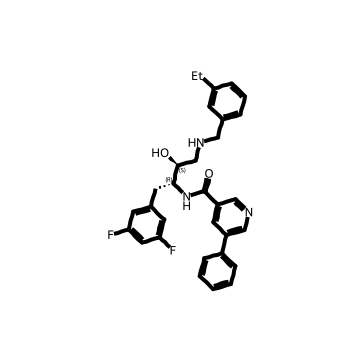 CCc1cccc(CNC[C@H](O)[C@@H](Cc2cc(F)cc(F)c2)NC(=O)c2cncc(-c3ccccc3)c2)c1